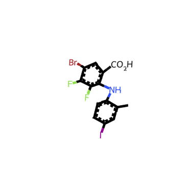 Cc1cc(I)ccc1Nc1c(C(=O)O)cc(Br)c(F)c1F